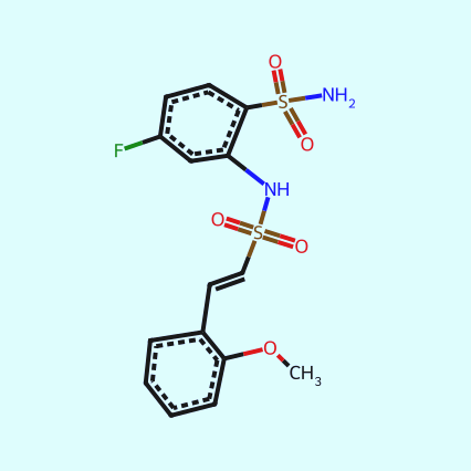 COc1ccccc1C=CS(=O)(=O)Nc1cc(F)ccc1S(N)(=O)=O